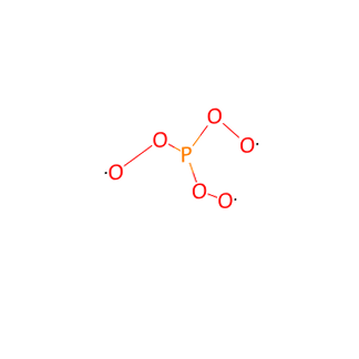 [O]OP(O[O])O[O]